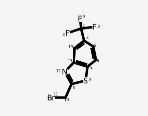 FC(F)(F)c1ccc2sc(CBr)nc2c1